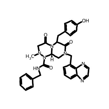 CN1CC(=O)N2C(Cc3ccc(O)cc3)C(=O)N(Cc3cccc4nccnc34)C[C@@H]2N1C(=O)NCc1ccccc1